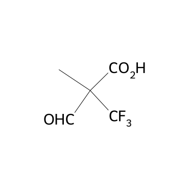 CC(C=O)(C(=O)O)C(F)(F)F